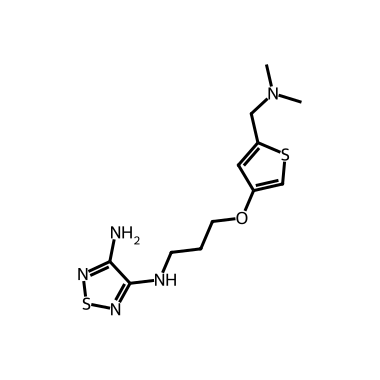 CN(C)Cc1cc(OCCCNc2nsnc2N)cs1